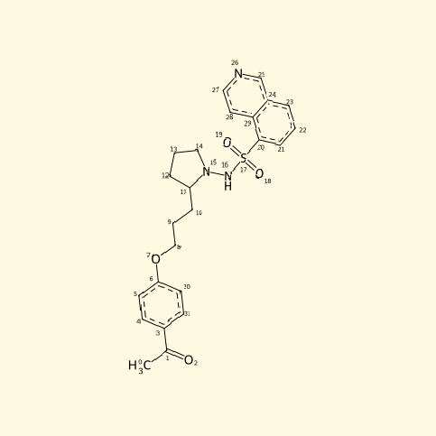 CC(=O)c1ccc(OCCCC2CCCN2NS(=O)(=O)c2cccc3cnccc23)cc1